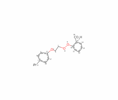 CC(C)c1ccc(OCCOOc2ccccc2C(=O)O)cc1